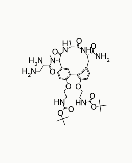 C[C@@H]1NC(=O)[C@@H](N(C)C(=O)[C@@H](N)CN)c2ccc(OCCNC(=O)OC(C)(C)C)c(c2)-c2cc(ccc2OCCNC(=O)OC(C)(C)C)C[C@@H](C(N)=O)NC1=O